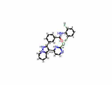 O=C(Nc1c(F)cccc1F)c1cccc(-c2nn3ccccc3c2-c2ccnc(Cl)n2)c1